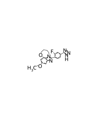 CCOc1cc2c3c(c1)nc(-c1ccc(-c4ncn[nH]4)cc1F)n3CCCCO2